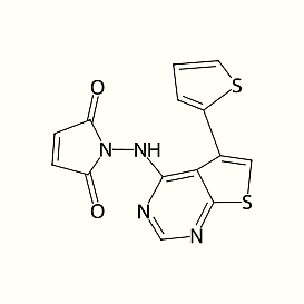 O=C1C=CC(=O)N1Nc1ncnc2scc(-c3cccs3)c12